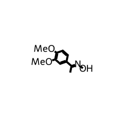 COc1ccc(C(C)=NO)cc1OC